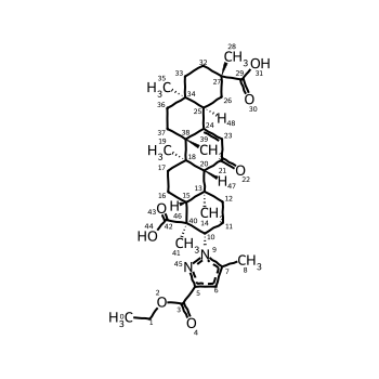 CCOC(=O)c1cc(C)n([C@H]2CC[C@@]3(C)[C@@H](CC[C@]4(C)[C@@H]3C(=O)C=C3[C@@H]5C[C@@](C)(C(=O)O)CC[C@]5(C)CC[C@]34C)[C@]2(C)C(=O)O)n1